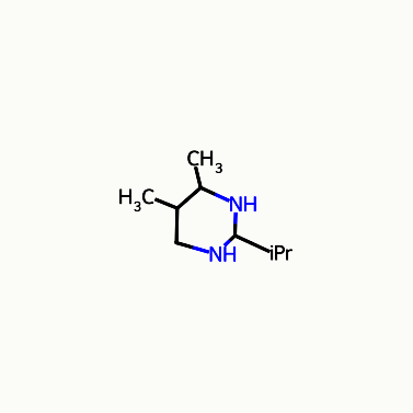 CC(C)C1NCC(C)C(C)N1